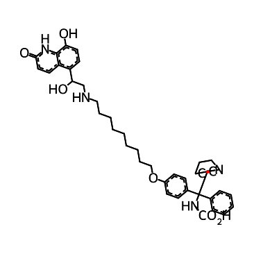 O=C(O)NC(c1ccccc1)(c1ccc(OCCCCCCCCCNCC(O)c2ccc(O)c3[nH]c(=O)ccc23)cc1)C1CN2CCC1CC2